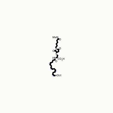 CCCCCCCC/C=C\C/C=C\C/C=C\C/C=C\CCC(=O)N[C@H](CSC1CC(=O)N(CCCCCC(=O)NC)C1=O)C(=O)O